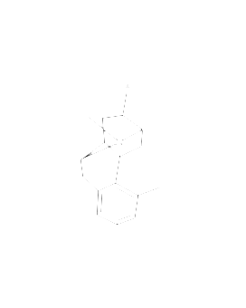 CC(=O)C1CC2C3Cc4cccc(C)c4[C@]2(C)CC1N3C